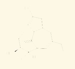 CC1=C[C@@]23CC[C@H](C)C(C)(C)[C@H](C=C(CO)C[C@@H]2C1)C3=O